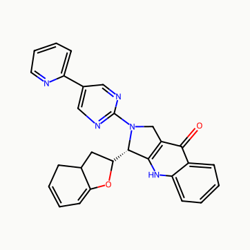 O=c1c2c([nH]c3ccccc13)[C@H](C1CC3CC=CC=C3O1)N(c1ncc(-c3ccccn3)cn1)C2